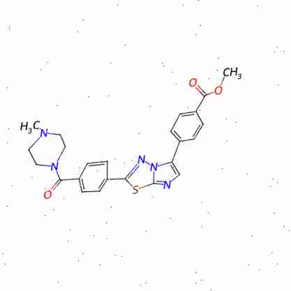 COC(=O)c1ccc(-c2cnc3sc(-c4ccc(C(=O)N5CCN(C)CC5)cc4)nn23)cc1